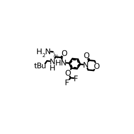 CC(C)(C)CN[C@H](CN)C(=O)Nc1ccc(N2CCOCC2=O)cc1OC(F)F